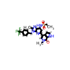 CCS(=O)(=O)Nc1cc(-c2cn(C)c(=O)c3[nH]ccc23)nc2c1nc(C)n2Cc1ccc(C(F)(F)F)cc1